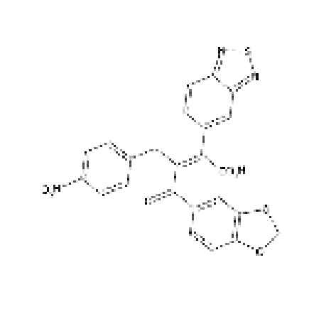 O=C(O)C(=C(Cc1ccc([N+](=O)[O-])cc1)C(=O)c1ccc2c(c1)OCO2)c1ccc2nsnc2c1